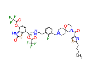 CCCCc1nc(C(=O)N2CCOC3(CCN(Cc4cccc(CCNC[C@H](OC(=O)C(F)(F)F)c5ccc(OC(=O)C(F)(F)F)c6[nH]c(=O)sc56)c4F)CC3)C2)cs1